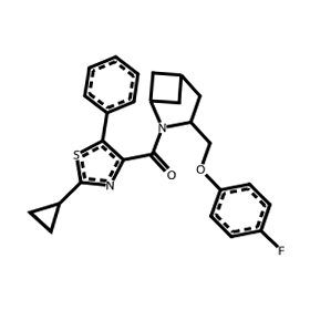 O=C(c1nc(C2CC2)sc1-c1ccccc1)N1C(COc2ccc(F)cc2)CC2CC1C2